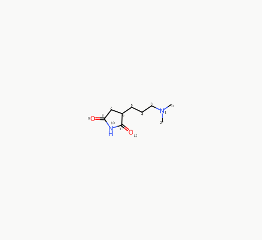 CN(C)CCCC1CC(=O)NC1=O